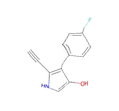 C#Cc1[nH]cc(O)c1-c1ccc(F)cc1